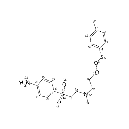 Cc1ccc(SOOCCN(C)CCS(=O)(=O)c2ccc(N)cc2)cc1